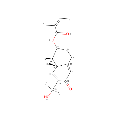 C/C=C(/C)C(=O)OC1CCC2=CC(=O)C(C(C)(C)O)=C[C@]2(C)[C@H]1C